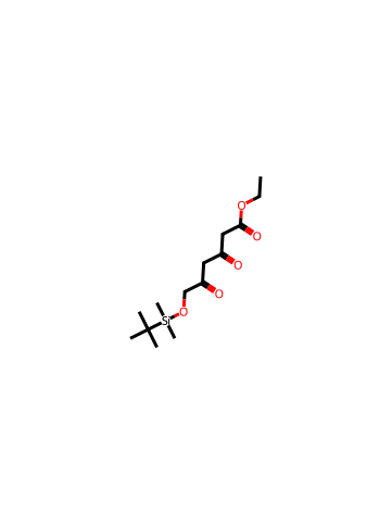 CCOC(=O)CC(=O)CC(=O)CO[Si](C)(C)C(C)(C)C